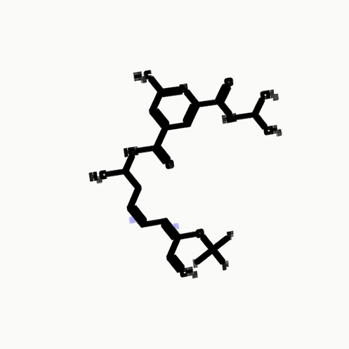 C=C/C(=C\C=C/CC(C)NC(=O)c1cc(C)nc(C(=O)NC(C)C)c1)OC(F)(F)I